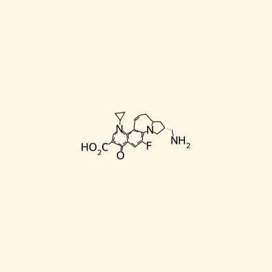 NC[C@H]1CC2CC=Cc3c(c(F)cc4c(=O)c(C(=O)O)cn(C5CC5)c34)N2C1